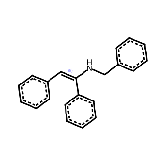 C(=C(\NCc1ccccc1)c1ccccc1)/c1ccccc1